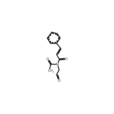 CC(=O)N(C[C]=O)C(=O)/C=C/c1ccccc1